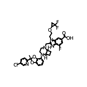 C[C@]1(c2ccc(Cl)cn2)Oc2cccc(N3CCN(Cc4nc5c(F)cc(C(=O)O)cc5n4CCOC4CC4(F)F)[C@H]4CC[C@@H]43)c2O1